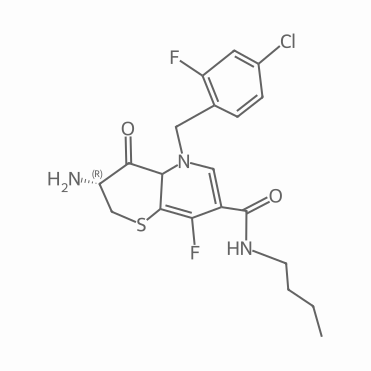 CCCCNC(=O)C1=CN(Cc2ccc(Cl)cc2F)C2C(=O)[C@@H](N)CSC2=C1F